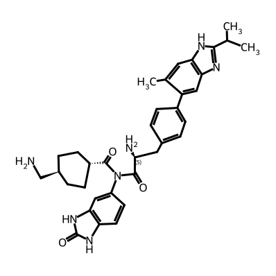 Cc1cc2[nH]c(C(C)C)nc2cc1-c1ccc(C[C@H](N)C(=O)N(c2ccc3[nH]c(=O)[nH]c3c2)C(=O)[C@H]2CC[C@H](CN)CC2)cc1